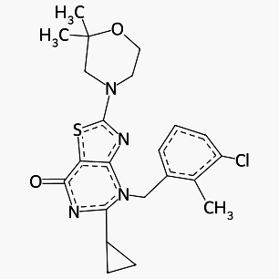 Cc1c(Cl)cccc1Cn1c(C2CC2)nc(=O)c2sc(N3CCOC(C)(C)C3)nc21